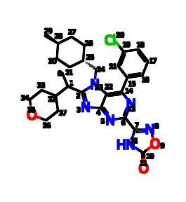 CC(c1nc2nc(-c3noc(=O)[nH]3)nc(-c3cccc(Cl)c3)c2n1C[C@H]1CC[C@H](C)CC1)C1CCOCC1